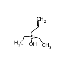 C=CC[Si](O)(CC)CC